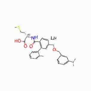 CSCC[C@H](NC(=O)c1ccc(COCc2cccc(C(C)C)c2)cc1-c1ccccc1C)C(=O)O.[LiH]